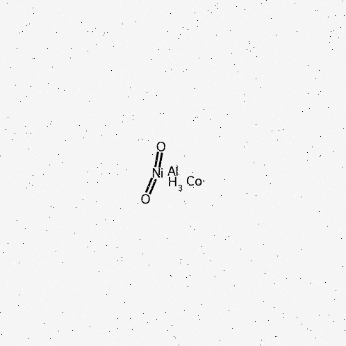 [AlH3].[Co].[O]=[Ni]=[O]